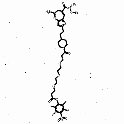 CCCN(OCC)C(=O)C1=Cc2sc(CCC3CCN(C(=O)CCOCCOCCOCCC(=O)Oc4c(F)c(F)c([SH](=O)=O)c(F)c4F)CC3)cc2N=C(N)C1